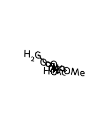 C=CCCOc1ccc(S(=O)(=O)N(Cc2ccc(OC)cc2)N(O)C(C)=O)cc1